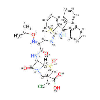 CC(C)ON=C(C(=O)NC1C(=O)N2CC(CCl)(C(=O)O)C[S+]([O-])[C@H]12)c1csc(NC(c2ccccc2)(c2ccccc2)c2ccccc2)n1